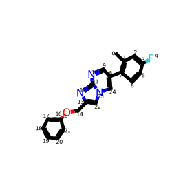 Cc1cc(F)ccc1-c1cnc2nc(COc3ccccc3)cn2c1